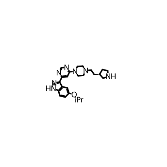 CC(C)Oc1ccc2[nH]nc(-c3cc(N4CCN(CC[C@H]5CCNC5)CC4)ncn3)c2c1